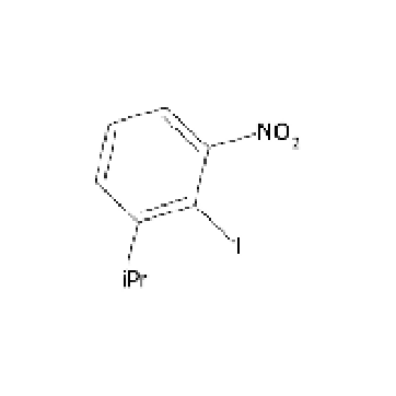 CC(C)c1cccc([N+](=O)[O-])c1I